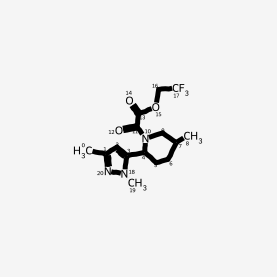 Cc1cc(C2CCC(C)CN2C(=O)C(=O)OCC(F)(F)F)n(C)n1